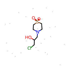 O=S1(=O)CCN(CC(O)CCl)CC1